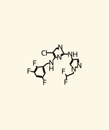 Fc1cc(F)c(F)c(CNc2nc(Nc3cnn(CC(F)F)c3)ncc2Cl)c1